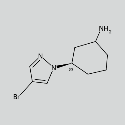 NC1CCC[C@@H](n2cc(Br)cn2)C1